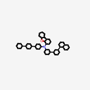 c1ccc(-c2ccc(-c3ccc(N(c4cccc(-c5cccc(-c6cccc7ccccc67)c5)c4)c4cccc5c4oc4ccccc45)cc3)cc2)cc1